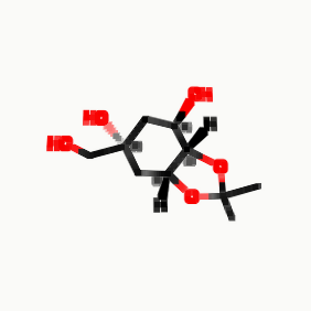 CC1(C)O[C@H]2[C@H](O)C[C@](O)(CO)C[C@H]2O1